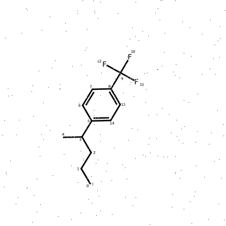 [CH]CCC(C)c1ccc(C(F)(F)F)cc1